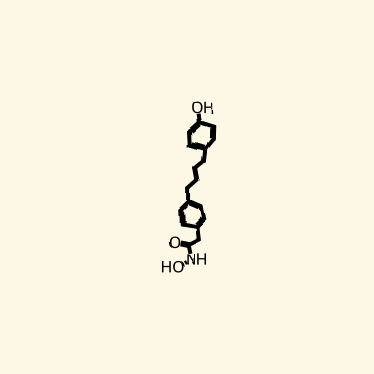 O=C(Cc1ccc(CCCCc2ccc(O)cc2)cc1)NO